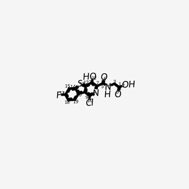 O=C(O)CNC(=O)c1nc(Cl)c2c(sc3cc(F)ccc32)c1O